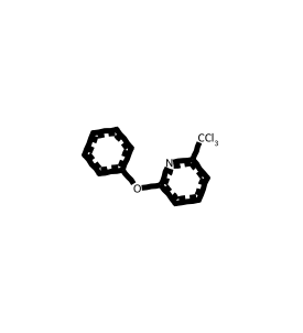 ClC(Cl)(Cl)c1cccc(Oc2ccccc2)n1